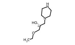 CCOC[C@H](O)CN1CCNCC1